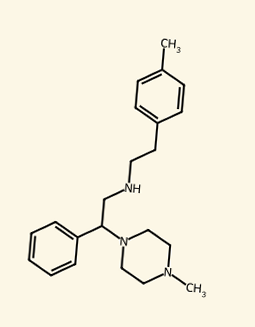 Cc1ccc(CCNCC(c2ccccc2)N2CCN(C)CC2)cc1